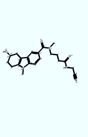 CN(CCCC(=O)NCC#N)C(=O)c1ccc2c(c1)c1c(n2C)CC[C@@H](O)C1